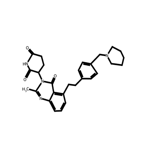 Cc1nc2cccc(CCc3ccc(CN4CCCCC4)cc3)c2c(=O)n1C1CCC(=O)NC1=O